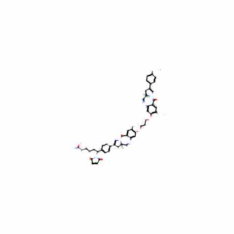 COc1ccc(C2=CN3C(=O)c4cc(OC)c(OCCCOc5cc6c(cc5OC)C(=O)N5C=C(c7ccc(C(CCCCC(N)=O)N8C(=O)C=CC8=O)cc7)C[C@H]5C=N6)cc4N=C[C@@H]3C2)cc1